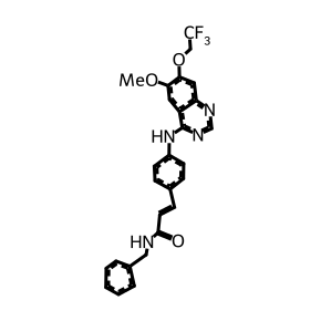 COc1cc2c(Nc3ccc(C=CC(=O)NCc4ccccc4)cc3)ncnc2cc1OCC(F)(F)F